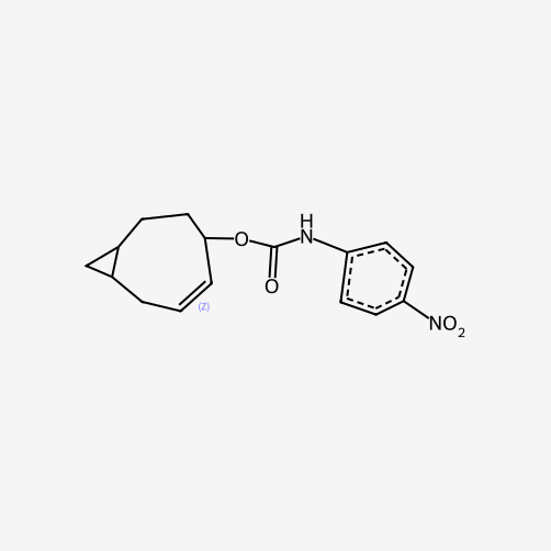 O=C(Nc1ccc([N+](=O)[O-])cc1)OC1/C=C\CC2CC2CC1